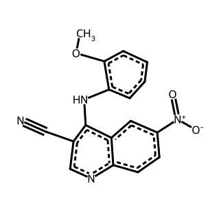 COc1ccccc1Nc1c(C#N)cnc2ccc([N+](=O)[O-])cc12